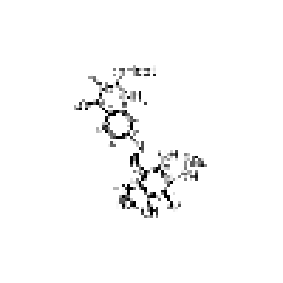 CCCCCCCC(N)N(C)C(=O)c1ccc(/N=N/c2c(NCCCC)c(C#N)c(=O)n(NCCCC)c2O)cc1